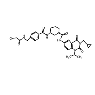 CC(C)n1c(=O)n(CC2CC2)c(=O)c2cc(NC(=O)N3CCCC(NC(=O)c4ccc(CNC(=O)CCl)cc4)C3)ccc21